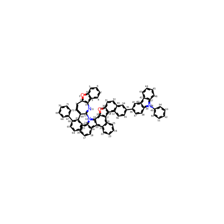 C1=Cc2oc3ccccc3c2N=C(n2c3ccccc3c3c4ccccc4c4c(oc5ccc6cc(-c7ccc8c(c7)c7ccccc7n8-c7ccccc7)ccc6c54)c32)C=1c1ccccc1-c1ccccc1